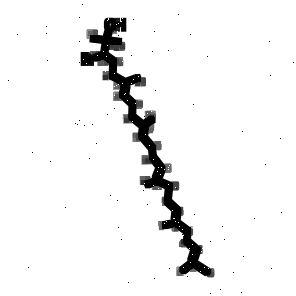 CC(C)=CCC/C(C)=C/CC/C(C)=C/CC/C=C(\C)CC/C=C(\C)CCC(Br)C(C)(C)O